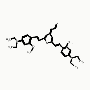 CCN(CC)c1ccc(/C=C/C2=CC(=C\C=O)/C=C(/C=C/c3ccc(N(CC)CC)cc3OC)O2)c(C)c1